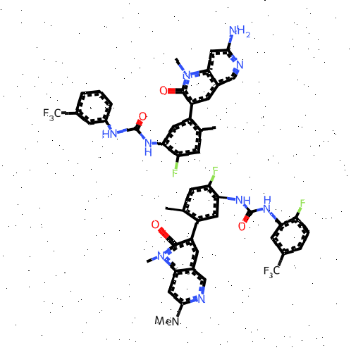 CNc1cc2c(cn1)cc(-c1cc(NC(=O)Nc3cc(C(F)(F)F)ccc3F)c(F)cc1C)c(=O)n2C.Cc1cc(F)c(NC(=O)Nc2cccc(C(F)(F)F)c2)cc1-c1cc2cnc(N)cc2n(C)c1=O